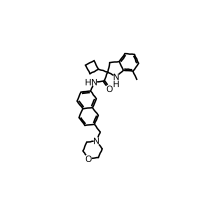 Cc1cccc2c1NC(C(=O)Nc1ccc3ccc(CN4CCOCC4)cc3c1)(C1CCC1)C2